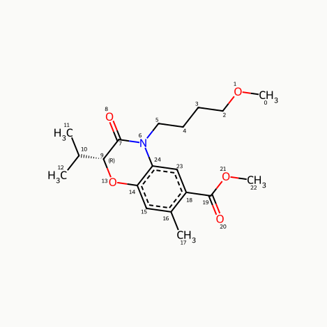 COCCCCN1C(=O)[C@@H](C(C)C)Oc2cc(C)c(C(=O)OC)cc21